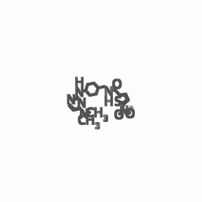 CN(C)c1ccnc(NC2CCC(CNC(=O)c3ccc([N+](=O)[O-])s3)CC2)n1